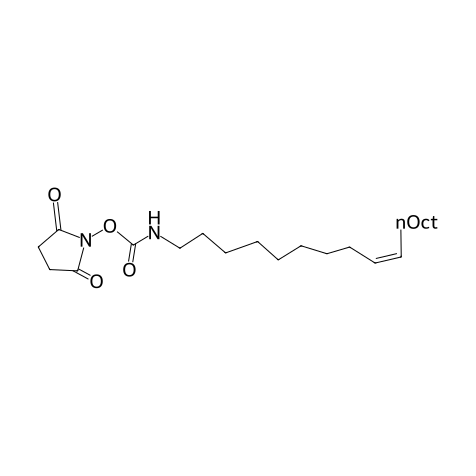 CCCCCCCC/C=C\CCCCCCCCNC(=O)ON1C(=O)CCC1=O